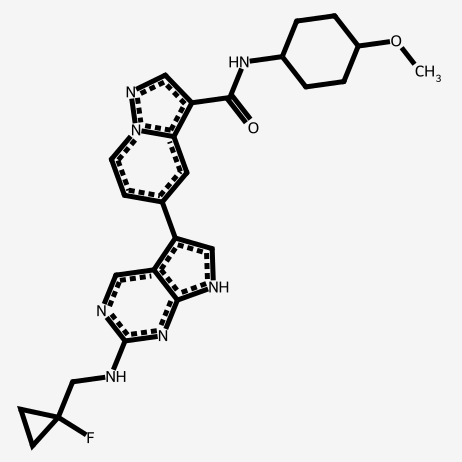 COC1CCC(NC(=O)c2cnn3ccc(-c4c[nH]c5nc(NCC6(F)CC6)ncc45)cc23)CC1